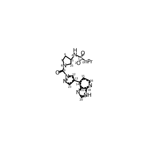 CCCS(=O)(=O)NC1CCN(C(=O)n2cc(-c3ccnc4[nH]cnc34)cn2)C1